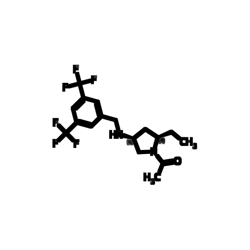 CC[C@@H]1C[C@H](NCc2cc(C(F)(F)F)cc(C(F)(F)F)c2)CN1C(C)=O